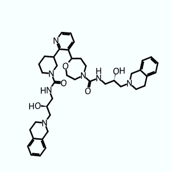 O=C(NC[C@H](O)CN1CCc2ccccc2C1)N1CCOC(c2cccnc2C2CCCN(C(=O)NC[C@H](O)CN3CCc4ccccc4C3)C2)CC1